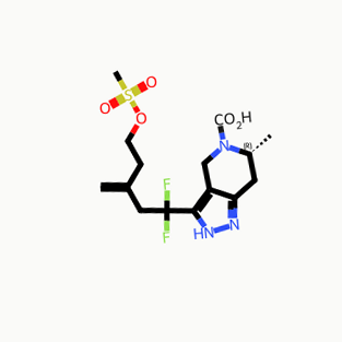 C=C(CCOS(C)(=O)=O)CC(F)(F)c1[nH]nc2c1CN(C(=O)O)[C@H](C)C2